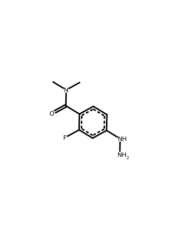 CN(C)C(=O)c1ccc(NN)cc1F